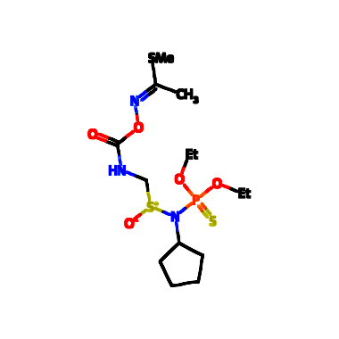 CCOP(=S)(OCC)N(C1CCCC1)[S+]([O-])CNC(=O)ON=C(C)SC